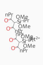 CCCC(=O)C(C(=O)CCC)[Si](OC)(OC)C(C)C.CCCC(=O)C(C(=O)CCC)[Si](OC)(OC)C(C)C.[Pt+2]